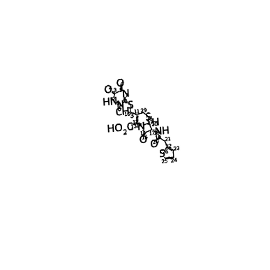 Cn1[nH]c(=O)c(=O)nc1SCC1=C(C(=O)O)N2C(=O)[C@@H](NC(=O)Cc3cccs3)[C@@H]2SC1